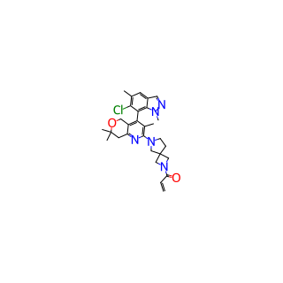 C=CC(=O)N1CC2(CCN(c3nc4c(c(-c5c(Cl)c(C)cc6cnn(C)c56)c3C)COC(C)(C)C4)C2)C1